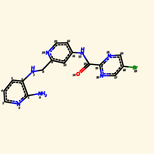 Nc1ncccc1NCc1cc(NC(=O)c2ncc(Br)cn2)ccn1